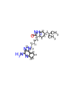 CC(C)Cc1ccc(C(CCCCCn2cnc3c(N)nc4ccccc4c32)C(N)=O)cc1